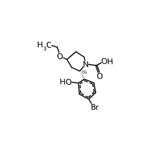 CCOC1CCN(C(=O)O)[C@H](c2ccc(Br)cc2O)C1